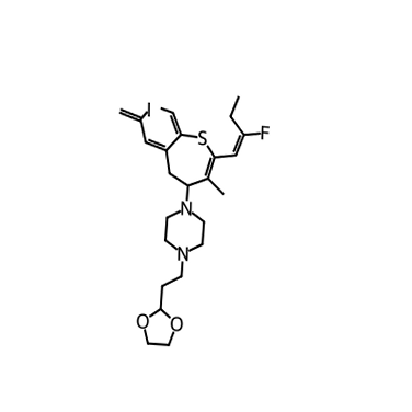 C=C(I)/C=C1/CC(N2CCN(CCC3OCCO3)CC2)C(C)=C(/C=C(/F)CC)S/C1=C/C